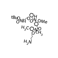 COc1cc(C(=O)N(C)c2ccc(C)cc2OCCCCN)ccc1NC(=O)c1ccccc1OCCCNC(=O)OC(C)(C)C